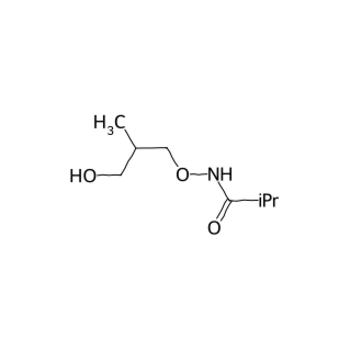 CC(CO)CONC(=O)C(C)C